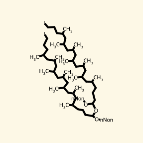 CCCCCCCCCOC(CCCC(C)CC(C)CC(C)CC(C)CC(C)CC(C)CC(C)CCCI)OC(CCCC(C)CC(C)CC(C)CC(C)CC(C)CC(C)CC(C)CCCI)OCCCCCCCCC